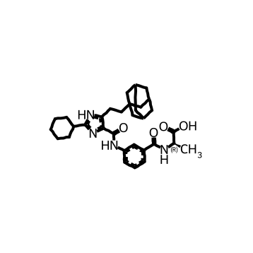 C[C@@H](NC(=O)c1cccc(NC(=O)c2nc(C3CCCCC3)[nH]c2CCC23CC4CC(CC(C4)C2)C3)c1)C(=O)O